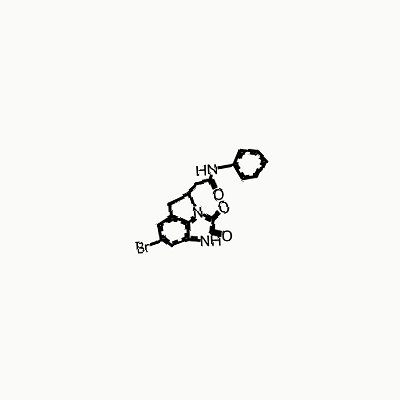 O=C(CC1Cc2cc(Br)cc3[nH]c(=O)c(=O)n1c23)Nc1ccccc1